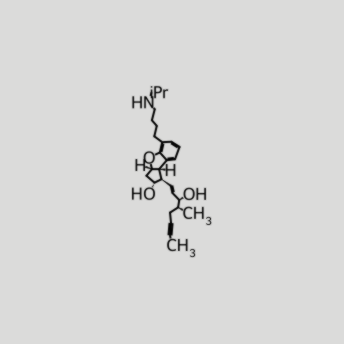 CC#CC[C@H](C)[C@H](O)/C=C/[C@@H]1[C@H]2c3cccc(CCCCNC(C)C)c3O[C@H]2C[C@H]1O